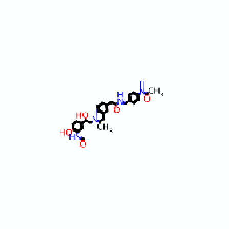 CC(=O)Nc1ccc(CNC(=O)Cc2cccc(C[C@@H](C)NC[C@H](O)c3ccc(O)c(NC=O)c3)c2)cc1